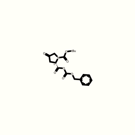 CC(C)(C)OC(=O)N1CC(=O)C[C@H]1C(=O)OC(=O)OCc1ccccc1